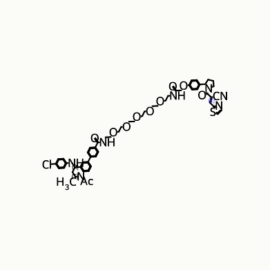 CC(=O)N1c2ccc(-c3ccc(C(=O)NCCOCCOCCOCCOCCOCCNC(=O)COc4ccc(C5CCCN5C(=O)/C(C#N)=C/c5nccs5)cc4)cc3)cc2[C@H](Nc2ccc(Cl)cc2)C[C@@H]1C